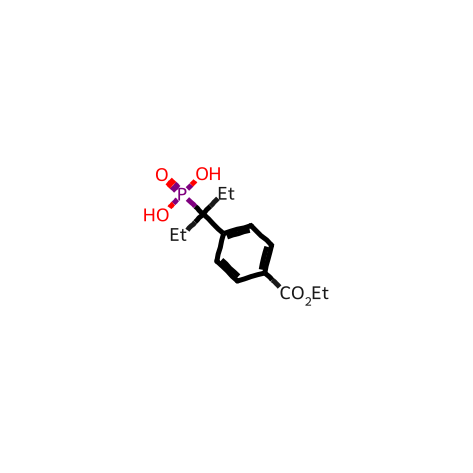 CCOC(=O)c1ccc(C(CC)(CC)P(=O)(O)O)cc1